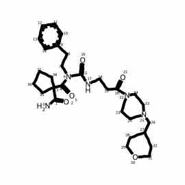 NC(=O)C1(C(=O)N(CCc2ccccc2)C(=O)NCCC(=O)N2CCN(CC3CCOCC3)CC2)CCCC1